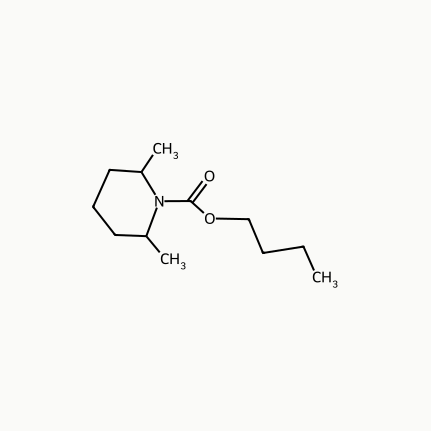 CCCCOC(=O)N1C(C)CCCC1C